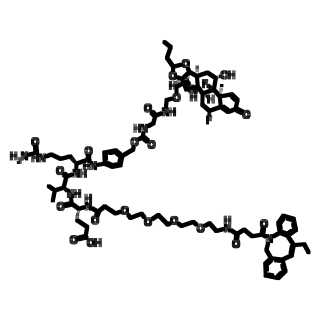 CCCC1O[C@@H]2C[C@H]3[C@@H]4C[C@H](F)C5=CC(=O)C=C[C@]5(C)[C@@]4(F)[C@@H](O)C[C@]3(C)[C@]2(C(=O)COCNC(=O)CNC(=O)OCc2ccc(NC(=O)[C@H](CCCNC(N)=O)NC(=O)[C@@H](NC(=O)[C@@H](CCC(=O)O)NC(=O)CCOCCOCCOCCOCCNC(=O)CCC(=O)N3Cc4ccccc4/C=C(/CC)c4ccccc43)C(C)C)cc2)O1